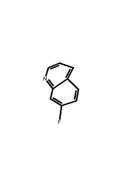 Fc1ccc2cccnc2c1